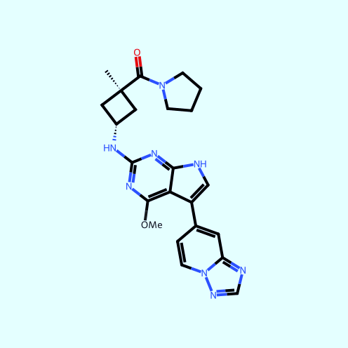 COc1nc(N[C@H]2C[C@](C)(C(=O)N3CCCC3)C2)nc2[nH]cc(-c3ccn4ncnc4c3)c12